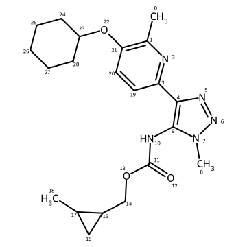 Cc1nc(-c2nnn(C)c2NC(=O)OCC2CC2C)ccc1OC1CCCCC1